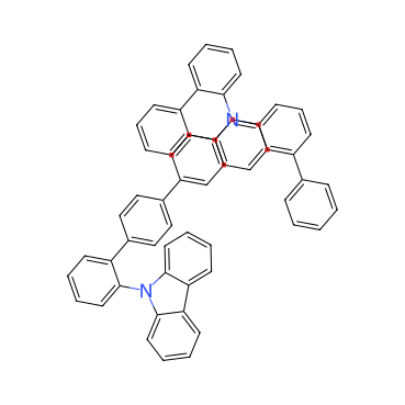 c1ccc(-c2cccc(N(c3ccc(-c4ccc(-c5ccccc5-n5c6ccccc6c6ccccc65)cc4)cc3)c3ccccc3-c3ccccc3-c3ccccc3)c2)cc1